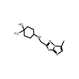 CC1(O)CCC(NCc2nn3c(I)cnc3s2)CC1